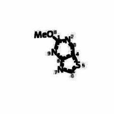 COc1ncc2s[c]nc2n1